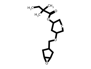 CCC(C)(C)C(=O)OC1CCCC(OCC2CC3OC3C2)C1